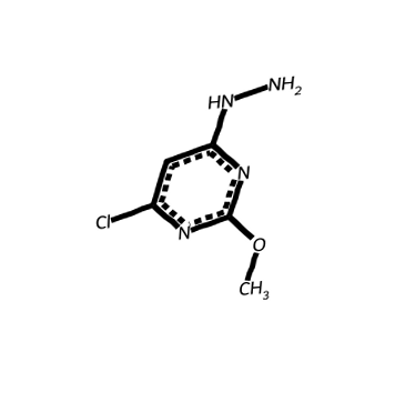 COc1nc(Cl)cc(NN)n1